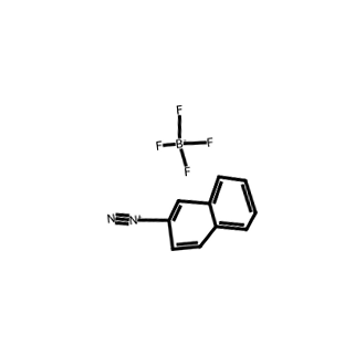 F[B-](F)(F)F.N#[N+]c1ccc2ccccc2c1